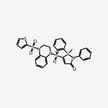 CS1(c2ccccc2)C(S(=O)(=O)N2CCN(S(=O)(=O)c3cccs3)c3ccccc32)=CC(=O)N1c1ccccc1